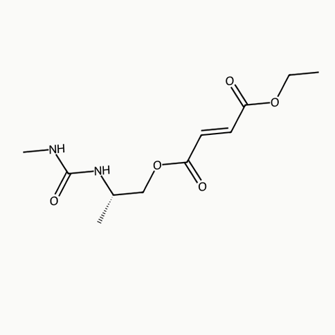 CCOC(=O)/C=C/C(=O)OC[C@H](C)NC(=O)NC